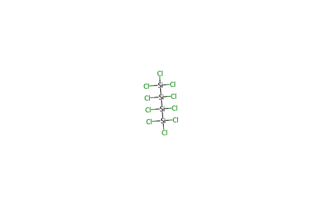 Cl[Si](Cl)(Cl)[Si](Cl)(Cl)[Si](Cl)(Cl)[Si](Cl)(Cl)Cl